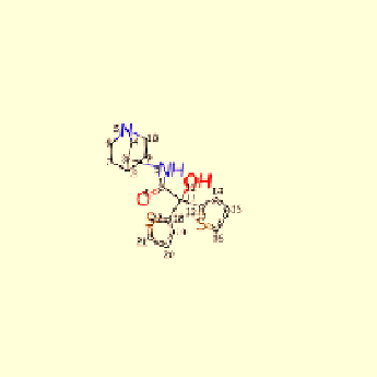 O=C(NC1CN2CCC1CC2)C(O)(c1cccs1)c1cccs1